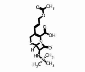 CC(=O)OCC=CC1=C(C(=O)O)N2C(=O)C(N[Si](C)(C)C)[C@@H]2SC1